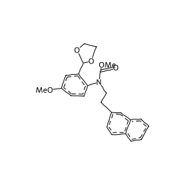 COC(=O)N(CCc1ccc2ccccc2c1)c1ccc(OC)cc1C1OCCO1